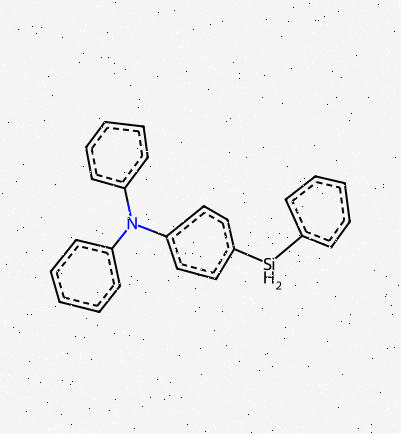 c1ccc([SiH2]c2ccc(N(c3ccccc3)c3ccccc3)cc2)cc1